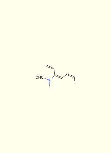 C=C/C(=C\C=C/C)N(C)C=O